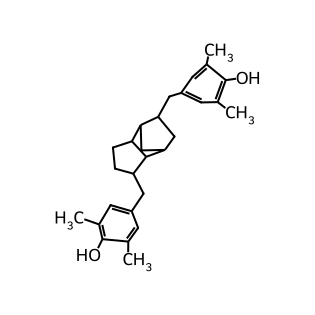 Cc1cc(CC2CC3CC2C2CCC(Cc4cc(C)c(O)c(C)c4)C32)cc(C)c1O